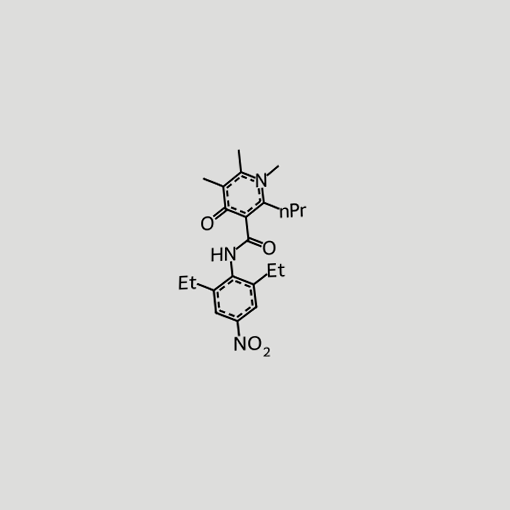 CCCc1c(C(=O)Nc2c(CC)cc([N+](=O)[O-])cc2CC)c(=O)c(C)c(C)n1C